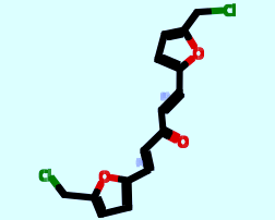 O=C(/C=C/c1ccc(CCl)o1)/C=C/c1ccc(CCl)o1